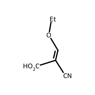 CCO/C=C(/C#N)C(=O)O